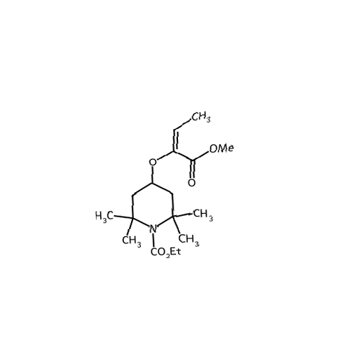 CC=C(OC1CC(C)(C)N(C(=O)OCC)C(C)(C)C1)C(=O)OC